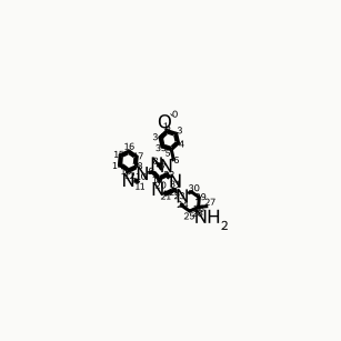 COc1ccc(Cn2nc(-n3cnc4ccccc43)c3ncc(N4CCC(C)(N)CC4)nc32)cc1